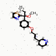 CCC(OC)(c1cccc(OC/C=C/c2cccnc2)c1)c1nccs1